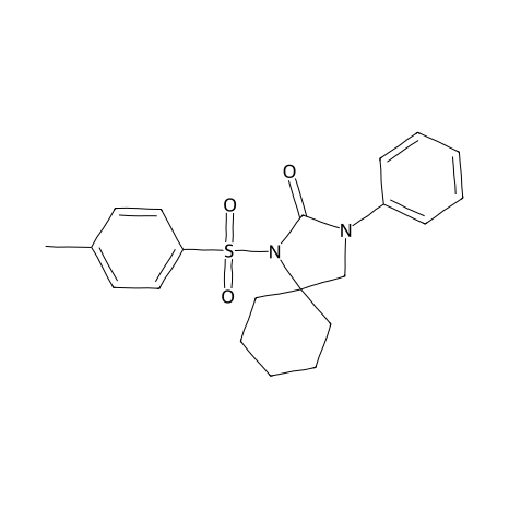 Cc1ccc(S(=O)(=O)N2C(=O)N(c3ccccc3)CC23CCCCC3)cc1